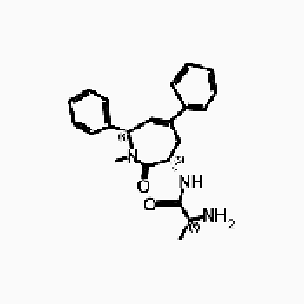 C[C@H](N)C(=O)N[C@H]1CC(c2ccccc2)=C[C@H](c2ccccc2)N(C)C1=O